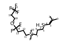 CC(C)=C[SiH2]CCC[Si](C)(C)CCCC(F)(F)OCCC(F)(F)F